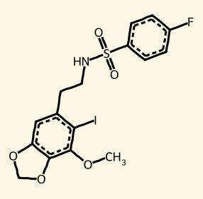 COc1c(I)c(CCNS(=O)(=O)c2ccc(F)cc2)cc2c1OCO2